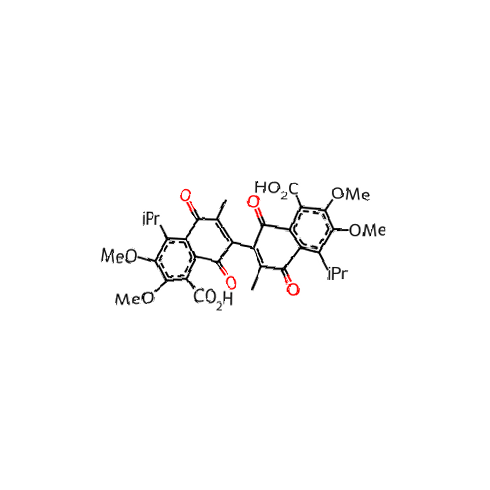 COc1c(OC)c(C(C)C)c2c(c1C(=O)O)C(=O)C(C1=C(C)C(=O)c3c(c(C(=O)O)c(OC)c(OC)c3C(C)C)C1=O)=C(C)C2=O